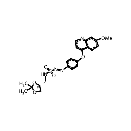 COc1ccc2c(Oc3ccc(N=NS(=O)(=O)NC[C@@H]4COC(C)(C)O4)cc3)ccnc2c1